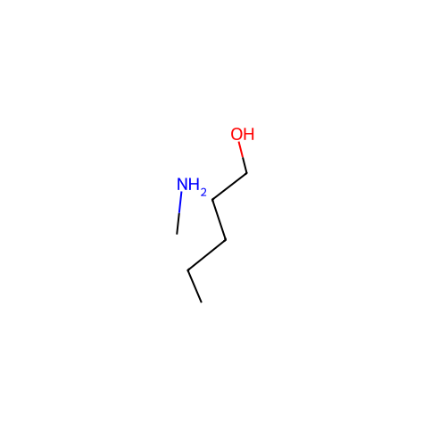 CCCCCO.CN